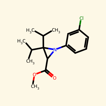 COC(=O)C1N(c2cccc(Cl)c2)C1(C(C)C)C(C)C